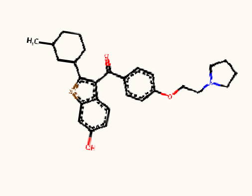 CC1CCCC(c2sc3cc(O)ccc3c2C(=O)c2ccc(OCCN3CCCC3)cc2)C1